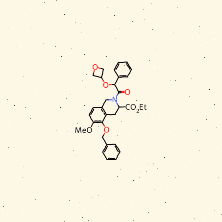 CCOC(=O)C1Cc2c(ccc(OC)c2OCc2ccccc2)CN1C(=O)C(OC1COC1)c1ccccc1